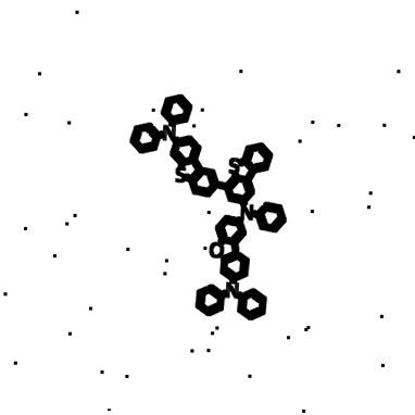 c1ccc(N(c2ccccc2)c2ccc3c(c2)oc2ccc(N(c4ccccc4)c4cc(-c5ccc6sc7cc(N(c8ccccc8)c8ccccc8)ccc7c6c5)c5sc6ccccc6c5c4)cc23)cc1